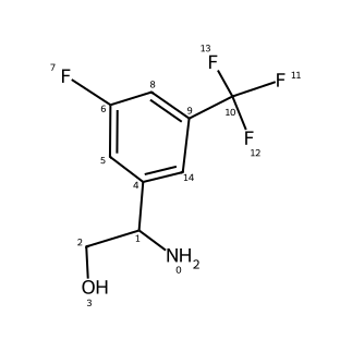 NC(CO)c1cc(F)cc(C(F)(F)F)c1